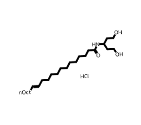 CCCCCCCCC=CCCCCCCCCCCCC(=O)NC(CCO)CCO.Cl